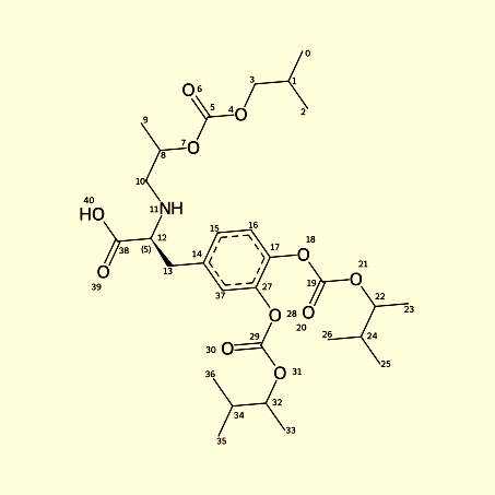 CC(C)COC(=O)OC(C)CN[C@@H](Cc1ccc(OC(=O)OC(C)C(C)C)c(OC(=O)OC(C)C(C)C)c1)C(=O)O